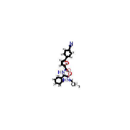 CCNC(=O)[C@@H](NC(=O)c1ccc(-c2ccc(C#N)cc2)o1)C1CCCCC1